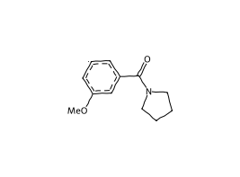 COc1c[c]cc(C(=O)N2CCCC2)c1